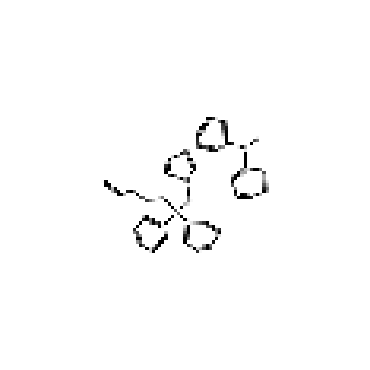 C=CCCC[Si](Cn1ccnc1)(c1ccccc1)c1ccccc1.CB(c1ccccc1)c1ccccc1